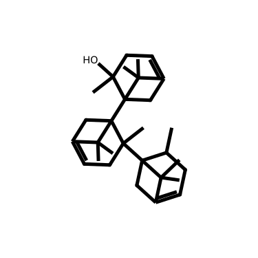 CC1CC=C2CC1(C1(C)CC=C3CC1(C14CC(=CCC1(C)O)C4(C)C)C3(C)C)C2(C)C